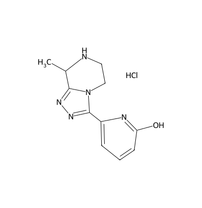 CC1NCCn2c(-c3cccc(O)n3)nnc21.Cl